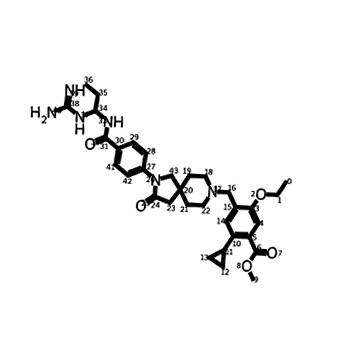 CCOc1cc(C(=O)OC)c(C2CC2)cc1CN1CCC2(CC1)CC(=O)N(c1ccc(C(=O)NC(CC)NC(=N)N)cc1)C2